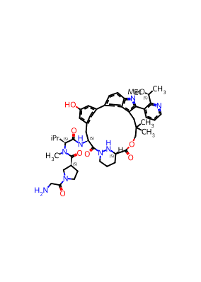 CCn1c(-c2cccnc2[C@H](C)OC)c2c3cc(ccc31)-c1cc(O)cc(c1)C[C@H](NC(=O)[C@H](C(C)C)N(C)C(=O)[C@H]1CCN(C(=O)CN)C1)C(=O)N1CCC[C@H](N1)C(=O)OCC(C)(C)C2